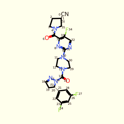 N#C[C@H]1CCN(C(=O)c2nc(N3CCN(C(=O)N4N=CC[C@H]4c4cc(F)cc(F)c4)CC3)ncc2F)C1